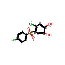 O=S(=O)(c1ccc(F)cc1)c1cc(O)c(O)cc1Cl